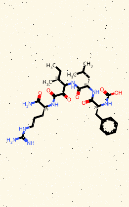 CC[C@H](C)C(NC(=O)[C@H](CC(C)C)NC(=O)[C@H](Cc1ccccc1)NC(=O)O)C(=O)C(=O)N[C@@H](CCCNC(=N)N)C(N)=O